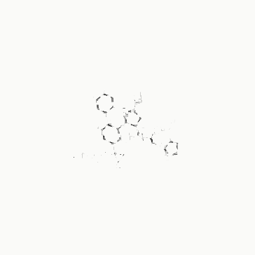 CCOC(=O)C1(c2ccc(-c3ccccc3)c(-c3sc(Cl)cc3NC(=O)OC(C)c3ccsc3)c2)CC1